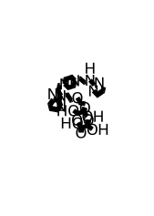 CCOCCn1c(CN2CCN(CCNc3ncccn3)CC2)nc2cccnc21.O=C(O)C(=O)O.O=C(O)C(=O)O